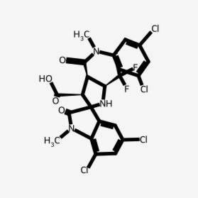 CN(C(=O)[C@H]1[C@@H](C(F)(F)F)NC2(C(=O)N(C)c3c(Cl)cc(Cl)cc32)[C@H]1C(=O)O)c1cc(Cl)cc(Cl)c1